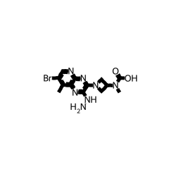 Cc1c(Br)cnc2nc(N3CC(N(C)C(=O)O)C3)c(NN)nc12